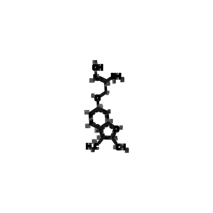 Cc1oc2cc(OCC(N)=NO)ccc2c1C